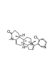 CN1C(=O)CC[C@@]2(C)C1=CC[C@@H]1[C@@H]2CC[C@]2(C)C(c3cnccc3Cl)=CC[C@@H]12